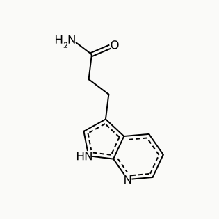 NC(=O)CCc1c[nH]c2ncccc12